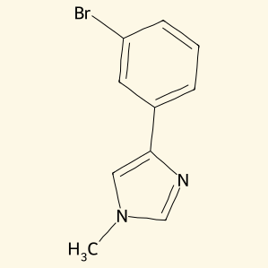 Cn1cnc(-c2cccc(Br)c2)c1